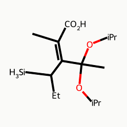 CCC([SiH3])C(=C(C)C(=O)O)C(C)(OC(C)C)OC(C)C